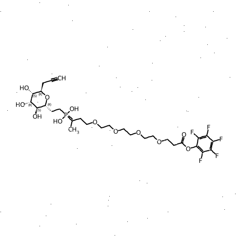 C#CC[C@H]1O[C@H](CCP(O)(O)=C(C)CCOCCOCCOCCOCCC(=O)Oc2c(F)c(F)c(F)c(F)c2F)[C@@H](O)[C@H](O)[C@@H]1O